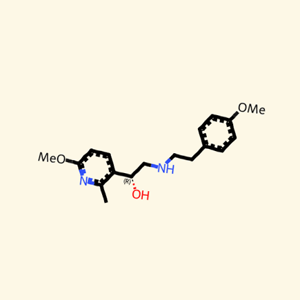 COc1ccc(CCNC[C@H](O)c2ccc(OC)nc2C)cc1